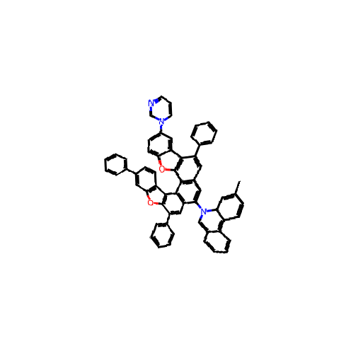 CC1=CC2C(=c3ccccc3=CN2c2cc3cc(-c4ccccc4)c4c5cc(N6C=CC=NC6)ccc5oc4c3c3c2cc(-c2ccccc2)c2oc4cc(-c5ccccc5)ccc4c23)C=C1